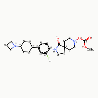 CC(C)(C)OC(=O)ON1CCC2(CC1)CCN(c1ccc(C3CCC(N4CCC4)CC3)cc1F)C2=O